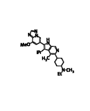 CCN(C)C1CCC(c2ncc3[nH]c(-c4cc(OC)c5ncnn5c4)c(C(C)C)c3c2C)CC1